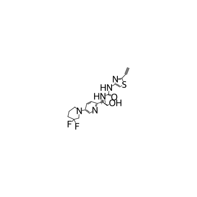 C#Cc1nc(NC(=O)N[C@@H](CO)c2ccc(N3CCCC(F)(F)C3)cn2)cs1